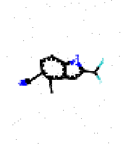 Cc1c(C#N)ccc2[nH]c(C(F)F)cc12